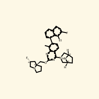 CCc1c(F)ccc2cccc(-c3ccc4c(N5C[C@H]6CC[C@@H](C5)N6)nc(OC[C@@]56CCCN5C[C@H](F)C6)nc4c3C)c12